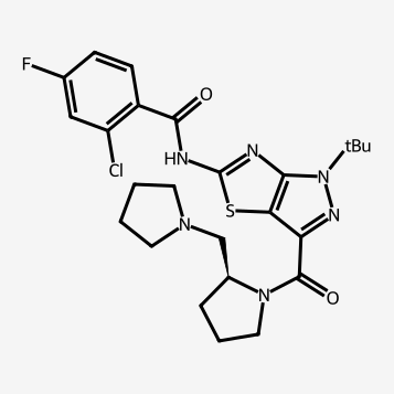 CC(C)(C)n1nc(C(=O)N2CCC[C@H]2CN2CCCC2)c2sc(NC(=O)c3ccc(F)cc3Cl)nc21